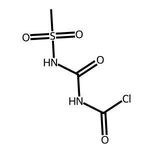 CS(=O)(=O)NC(=O)NC(=O)Cl